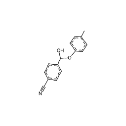 Cc1ccc(OC(O)c2ccc(C#N)cc2)cc1